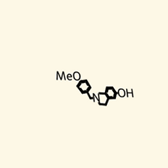 COc1ccc(CN2CCc3cc(O)ccc3C2)cc1